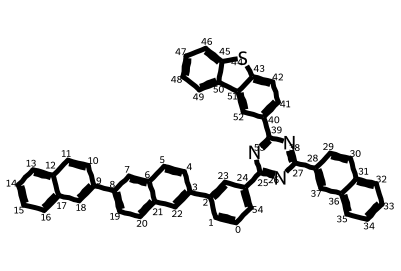 c1cc(-c2ccc3cc(-c4ccc5ccccc5c4)ccc3c2)cc(-c2nc(-c3ccc4ccccc4c3)nc(-c3ccc4sc5ccccc5c4c3)n2)c1